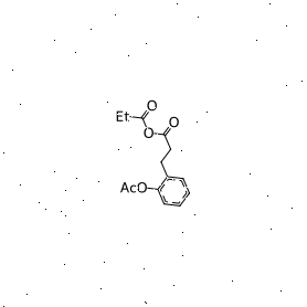 CCC(=O)OC(=O)CCc1ccccc1OC(C)=O